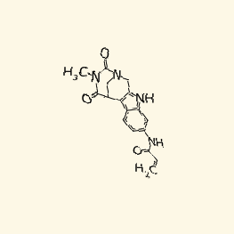 C=CC(=O)Nc1ccc2c3c([nH]c2c1)CN1CC3C(=O)N(C)C1=O